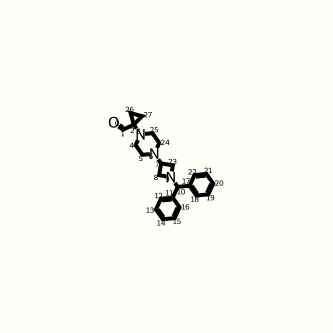 O=CC1(N2CCN(C3CN(C(c4ccccc4)c4ccccc4)C3)CC2)CC1